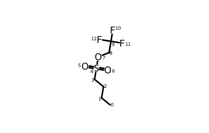 CCCCS(=O)(=O)OCC(F)(F)F